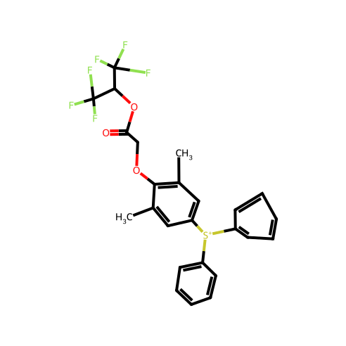 Cc1cc([S+](c2ccccc2)c2ccccc2)cc(C)c1OCC(=O)OC(C(F)(F)F)C(F)(F)F